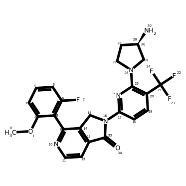 COc1cccc(F)c1-c1nccc2c1CN(c1ccc(C(F)(F)F)c(N3CC[C@@H](N)C3)n1)C2=O